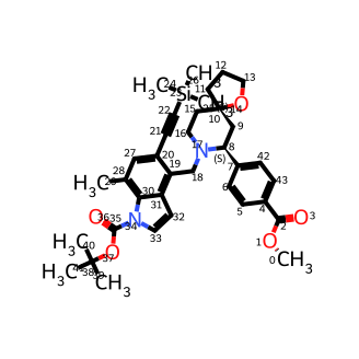 COC(=O)c1ccc([C@@H]2C[C@]3(CCCO3)CCN2Cc2c(C#C[Si](C)(C)C)cc(C)c3c2ccn3C(=O)OC(C)(C)C)cc1